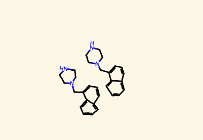 c1ccc2c(CN3CCNCC3)cccc2c1.c1ccc2c(CN3CCNCC3)cccc2c1